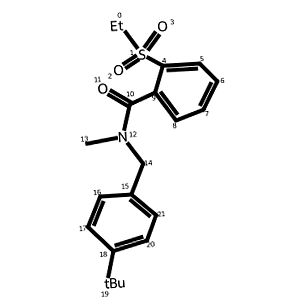 CCS(=O)(=O)c1ccccc1C(=O)N(C)Cc1ccc(C(C)(C)C)cc1